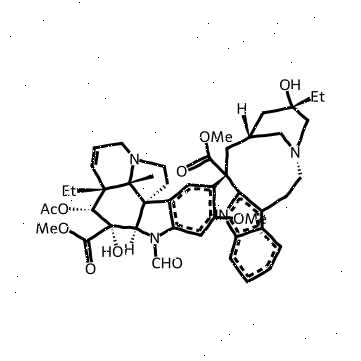 CC[C@]1(O)C[C@@H]2C[N@@](CCc3c([nH]c4ccccc34)[C@@](C(=O)OC)(c3cc4c(cc3OC)N(C=O)[C@H]3[C@@](O)(C(=O)OC)[C@H](OC(C)=O)[C@]5(CC)C=CCN6CC[C@]43[C@@]65C)C2)C1